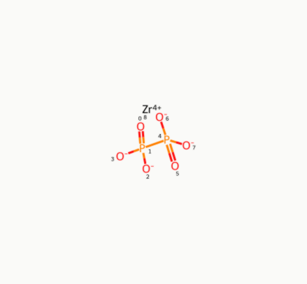 O=P([O-])([O-])P(=O)([O-])[O-].[Zr+4]